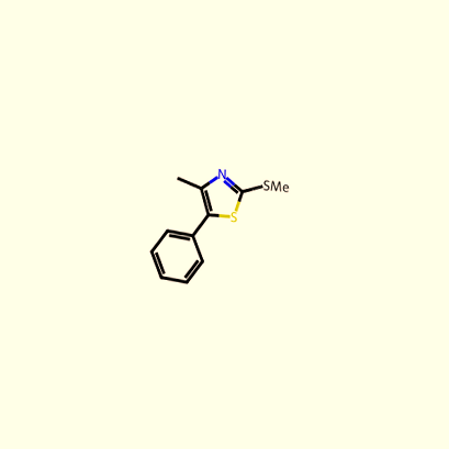 CSc1nc(C)c(-c2ccccc2)s1